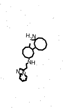 CC1CCCCC(NCCc2cnc3ccccn23)CCC1C1CCCCCCCC(C)(N)C1